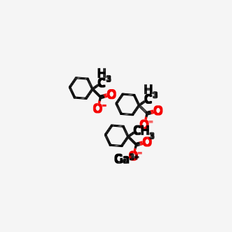 CC1(C(=O)[O-])CCCCC1.CC1(C(=O)[O-])CCCCC1.CC1(C(=O)[O-])CCCCC1.[Ga+3]